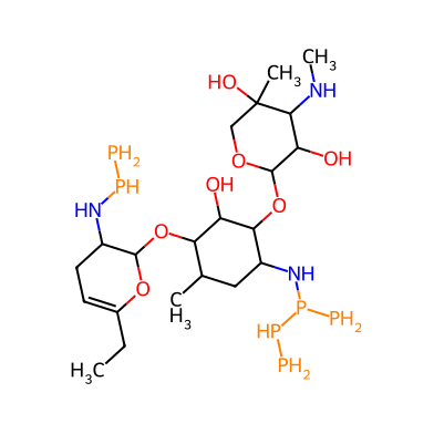 CCC1=CCC(NPP)C(OC2C(C)CC(NP(P)PP)C(OC3OCC(C)(O)C(NC)C3O)C2O)O1